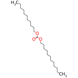 CCCCCCCCCCCCOC(=O)OCCCCCCCCCCC